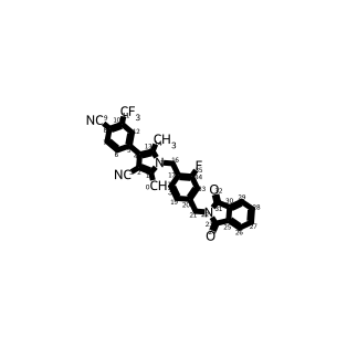 Cc1c(C#N)c(-c2ccc(C#N)c(C(F)(F)F)c2)c(C)n1Cc1ccc(CN2C(=O)c3ccccc3C2=O)cc1F